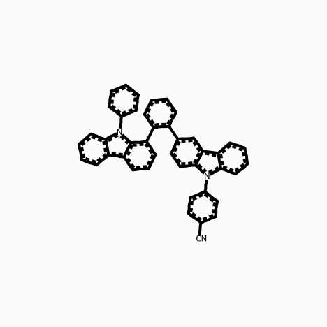 N#Cc1ccc(-n2c3ccccc3c3cc(-c4ccccc4-c4cccc5c6ccccc6n(-c6ccccc6)c45)ccc32)cc1